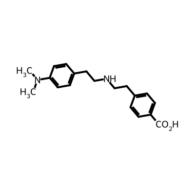 CN(C)c1ccc(CCNCCc2ccc(C(=O)O)cc2)cc1